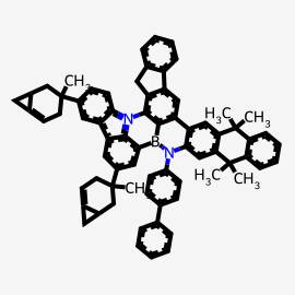 CC1(c2ccc3c(c2)c2cc(C4(C)CC=C5CC5C4)cc4c2n3-c2c3c(cc5c2B4N(c2ccc(-c4ccccc4)cc2)c2cc4c(cc2-5)C(C)(C)c2ccccc2C4(C)C)-c2ccccc2C3)CC=C2CC2C1